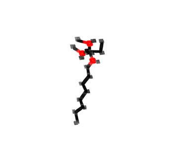 CCCCCCCCO[Si](CC)(OC)OC